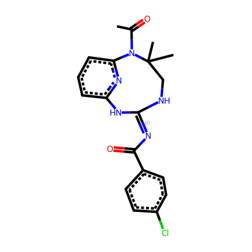 CC(=O)N1c2cccc(n2)N/C(=N\C(=O)c2ccc(Cl)cc2)NCC1(C)C